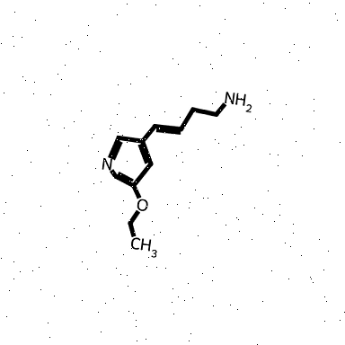 CCOc1cncc(/C=C/CCN)c1